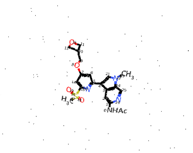 CC(=O)Nc1cc2c(-c3cc(OCC4COC4)cc(S(C)(=O)=O)n3)cn(C)c2cn1